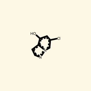 Oc1cc(Cl)cn2nccc12